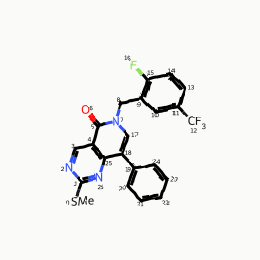 CSc1ncc2c(=O)n(Cc3cc(C(F)(F)F)ccc3F)cc(-c3ccccc3)c2n1